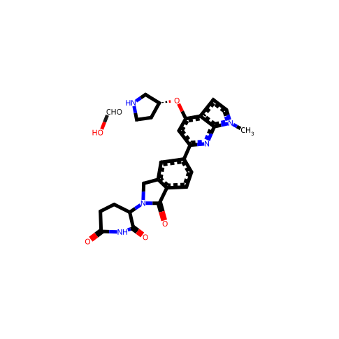 Cn1ccc2c(O[C@@H]3CCNC3)cc(-c3ccc4c(c3)CN(C3CCC(=O)NC3=O)C4=O)nc21.O=CO